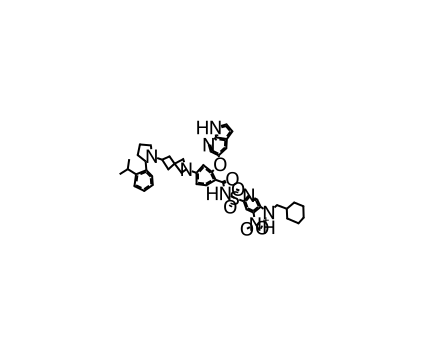 CC(C)c1ccccc1C1CCCN1C1CC2(C1)CN(c1ccc(C(=O)NS(=O)(=O)c3cc([N+](=O)[O-])c(NCC4CCCCC4)cn3)c(Oc3cnc4[nH]ccc4c3)c1)C2